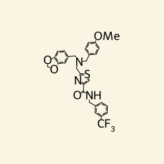 COc1ccc(CN(Cc2ccc3c(c2)OCO3)Cc2nc(C(=O)NCc3cccc(C(F)(F)F)c3)cs2)cc1